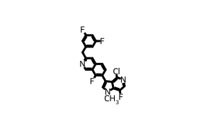 Cn1cc(-c2ccc3cc(Cc4cc(F)cc(F)c4)ncc3c2F)c2c(Cl)ncc(F)c21